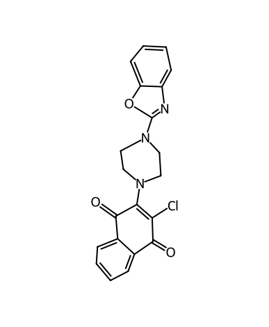 O=C1C(Cl)=C(N2CCN(c3nc4ccccc4o3)CC2)C(=O)c2ccccc21